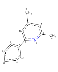 Cc1cc(C)nc(-c2c[c]ccc2)c1